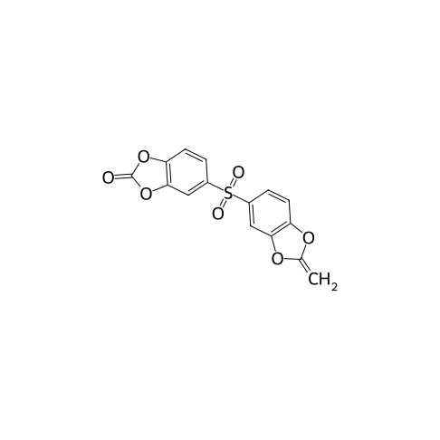 C=C1Oc2ccc(S(=O)(=O)c3ccc4oc(=O)oc4c3)cc2O1